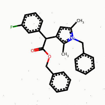 Cc1cc(C(C(=O)OCc2ccccc2)c2cccc(F)c2)c(C)n1Cc1ccccc1